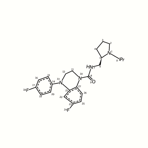 CC(C)N1CCC[C@@H]1CNC(=O)N1CCN(c2ccc(F)cc2)c2cc(F)ccc21